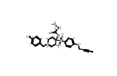 CC#CCOc1ccc(S(=O)(=O)C2(OC(=O)NO)CCN(Cc3ccc(Cl)cc3)CC2)cc1